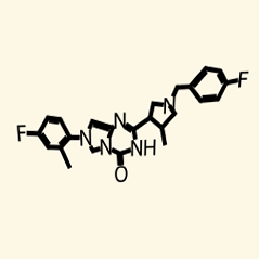 Cc1cc(F)ccc1N1C=C2N=C(C3CN(Cc4ccc(F)cc4)CC3C)NC(=O)N2C1